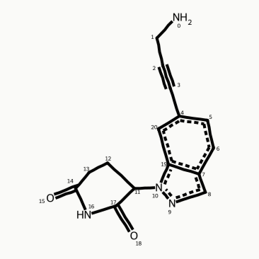 NCC#Cc1ccc2cnn(C3CCC(=O)NC3=O)c2c1